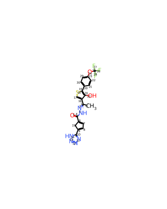 C/C(=N\NC(=O)C1=CC=C(c2nnn[nH]2)C1)c1csc(-c2ccc(OC(F)(F)F)cc2)c1O